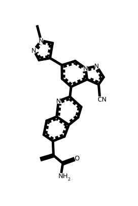 C=C(C(N)=O)c1ccc2nc(-c3cc(-c4cnn(C)c4)cn4ncc(C#N)c34)ccc2c1